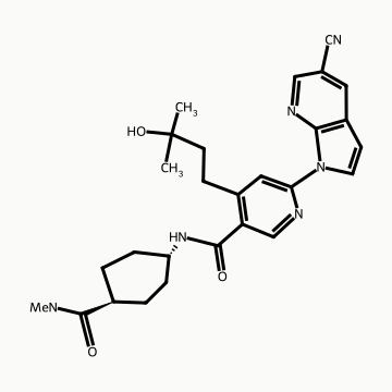 CNC(=O)[C@H]1CC[C@H](NC(=O)c2cnc(-n3ccc4cc(C#N)cnc43)cc2CCC(C)(C)O)CC1